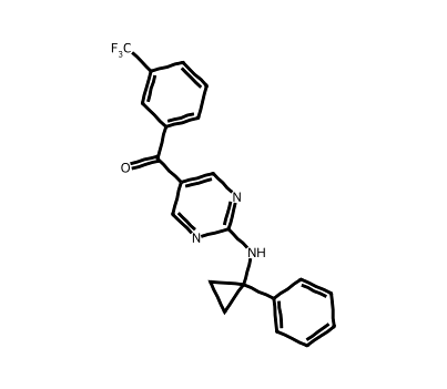 O=C(c1cnc(NC2(c3ccccc3)CC2)nc1)c1cccc(C(F)(F)F)c1